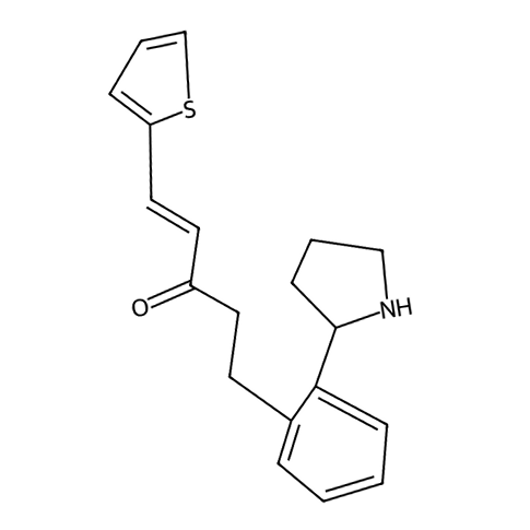 O=C(C=Cc1cccs1)CCc1ccccc1C1CCCN1